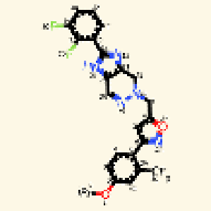 CC(C)Oc1ccc(-c2cc(CN3Cc4nc(-c5cccc(F)c5F)[nH]c4C=N3)on2)c(C(F)(F)F)c1